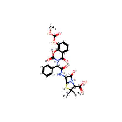 COC(=O)Oc1cccc2c(=O)n([C@@H](C(=O)NC3C(=O)N4C3SC(C)(C)C4C(=O)O)c3ccccc3)c(=O)oc12